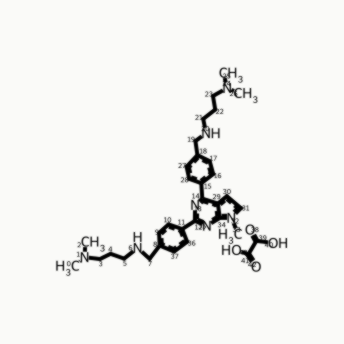 CN(C)CCCNCc1ccc(-c2nc(-c3ccc(CNCCCN(C)C)cc3)c3ccn(C)c3n2)cc1.O=C(O)C(=O)O